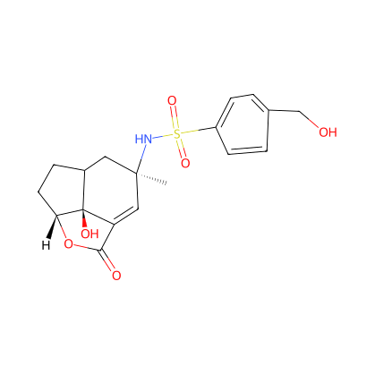 C[C@]1(NS(=O)(=O)c2ccc(CO)cc2)C=C2C(=O)O[C@@H]3CCC(C1)[C@]23O